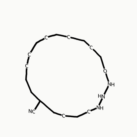 N#CC1CCCCCCCCCCCONNNCCCC1